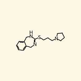 c1ccc2c(c1)CN=C(SCCCN1CCCC1)NC2